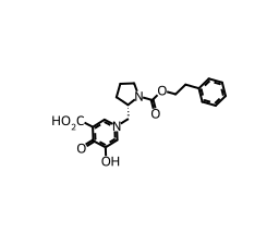 O=C(O)c1cn(C[C@@H]2CCCN2C(=O)OCCc2ccccc2)cc(O)c1=O